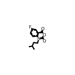 CC(C)CCn1c(=O)oc(=O)c2cc(F)ccc21